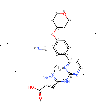 Cn1nc(C(=O)O)cc1Nc1nccc(-c2ccc(OC3CCOCC3)c(C#N)c2)n1